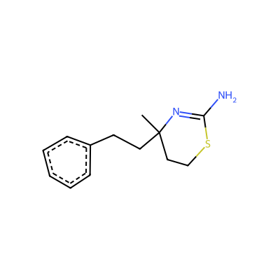 CC1(CCc2ccccc2)CCSC(N)=N1